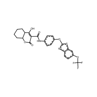 O=C(Nc1ccc(Oc2nc3ccc(OC(F)(F)F)cc3s2)cc1)C1=C(O)C2CCCCC2OC1=O